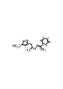 C=C(Cn1cc(C(=O)O)cn1)S/C=C(\N)c1ccccc1